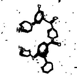 O=C(c1cc(Cl)cc(N2CCNCC2)c1)N1CCN(C(=O)c2ccc(O[C@H]3CCNC3)c(C3CCCCC3)c2)CC1